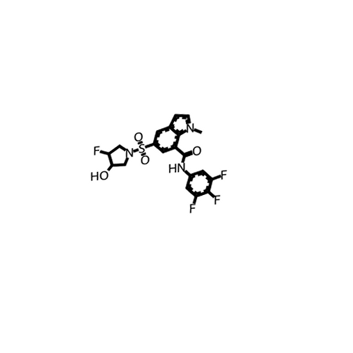 Cn1ccc2cc(S(=O)(=O)N3CC(O)C(F)C3)cc(C(=O)Nc3cc(F)c(F)c(F)c3)c21